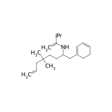 C=CCC(C)(C)CCC(CC1=CC=CCC1)NC(=C)C(C)C